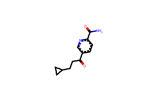 NC(=O)c1ccc(C(=O)CCC2CC2)cn1